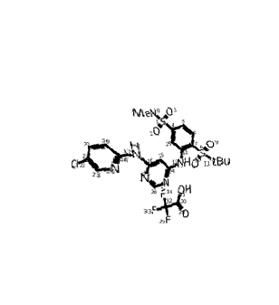 CNS(=O)(=O)c1ccc(S(=O)(=O)C(C)(C)C)c(Nc2cc(Nc3ccc(Cl)cn3)ncn2)c1.O=C(O)C(F)(F)F